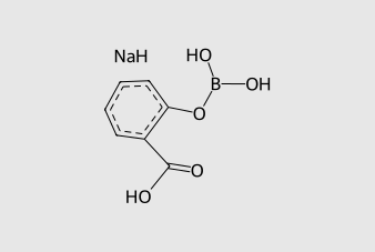 O=C(O)c1ccccc1OB(O)O.[NaH]